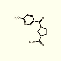 COC(=O)[C@@H]1CCN(C(=O)c2ccc(C)nc2)C1